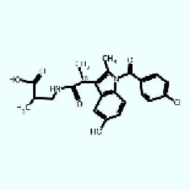 Cc1c([C@H](C)C(=O)NCC(C)C(=O)O)c2cc(O)ccc2n1C(=O)c1ccc(Cl)cc1